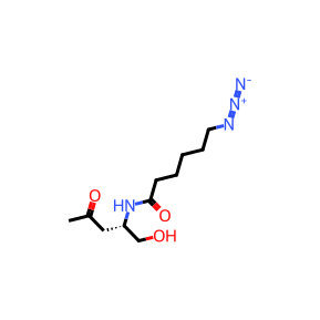 CC(=O)C[C@@H](CO)NC(=O)CCCCCN=[N+]=[N-]